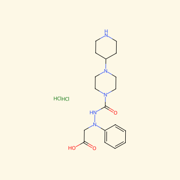 Cl.Cl.O=C(O)CN(NC(=O)N1CCN(C2CCNCC2)CC1)c1ccccc1